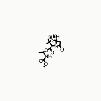 COC(=O)NC(C)OC(=O)[C@@H]1N2C(=O)C[C@H]2S(=O)(=O)C1(C)C